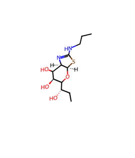 CCCNC1=N[C@@H]2C(O)[C@H](O)C([C@@H](O)CC)O[C@@H]2S1